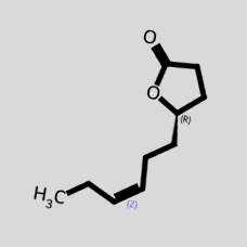 CC/C=C\CC[C@@H]1CCC(=O)O1